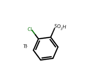 O=S(=O)(O)c1ccccc1Cl.[Tl]